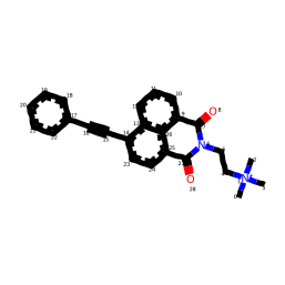 C[N+](C)(C)CCN1C(=O)c2cccc3c(C#Cc4ccccc4)ccc(c23)C1=O